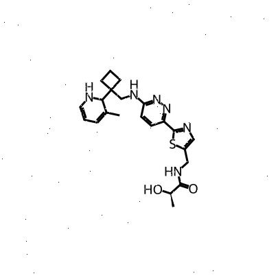 CC1=CC=CNC1C1(CNc2ccc(-c3ncc(CNC(=O)[C@@H](C)O)s3)nn2)CCC1